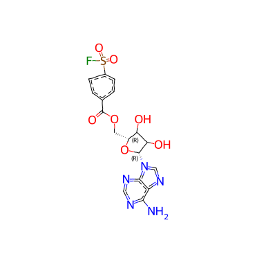 Nc1ncnc2c1ncn2[C@@H]1O[C@H](COC(=O)c2ccc(S(=O)(=O)F)cc2)C(O)C1O